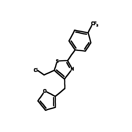 FC(F)(F)c1ccc(-c2nc(Cc3ccco3)c(CCl)s2)cc1